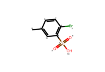 Cc1ccc(Br)c(S(=O)(=O)O)c1